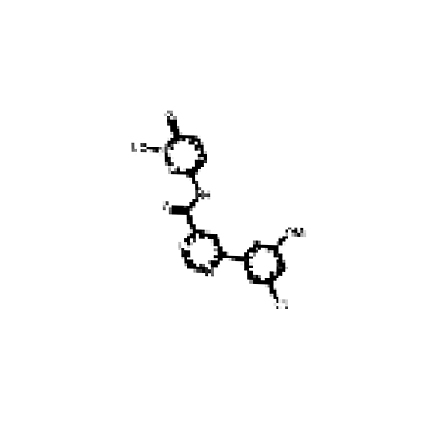 COc1cc(C#N)cc(-c2cc(C(=O)Nc3ccc(=O)n(C)n3)ncn2)c1